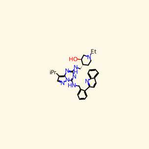 CCN1CC[C@H](CNc2nc(NCc3ccccc3-c3ccc4ccccc4n3)n3ncc(C(C)C)c3n2)[C@@H](O)C1